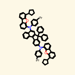 CC(C)c1ccc(N(c2ccc3c(c2)C(c2ccccc2)(c2ccccc2)c2cc(N(c4ccc(C(C)C)cc4)c4cccc5c4oc4c(C6CCCC6)cccc45)c4ccccc4c2-3)c2cccc3c2oc2c(C4CCCC4)cccc23)cc1